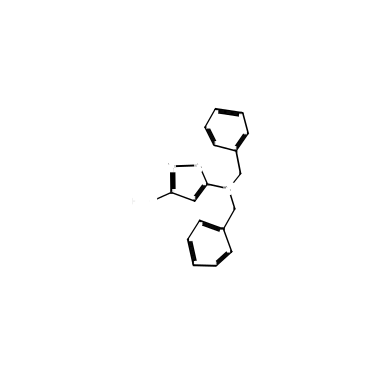 O=C(O)c1cc(N(Cc2ccccc2)Cc2ccccc2)[nH]n1